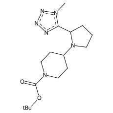 Cn1nnnc1C1CCCN1C1CCN(C(=O)OC(C)(C)C)CC1